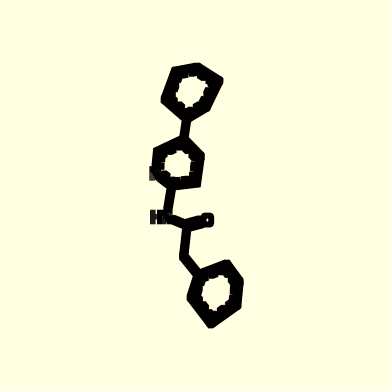 O=C(Cc1ccccc1)Nc1ccc(-c2ccccc2)cn1